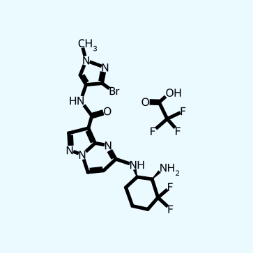 Cn1cc(NC(=O)c2cnn3ccc(N[C@@H]4CCCC(F)(F)[C@@H]4N)nc23)c(Br)n1.O=C(O)C(F)(F)F